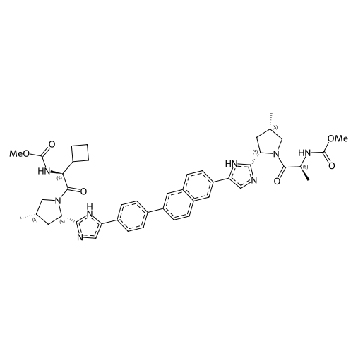 COC(=O)N[C@@H](C)C(=O)N1C[C@@H](C)C[C@H]1c1ncc(-c2ccc3cc(-c4ccc(-c5cnc([C@@H]6C[C@H](C)CN6C(=O)[C@@H](NC(=O)OC)C6CCC6)[nH]5)cc4)ccc3c2)[nH]1